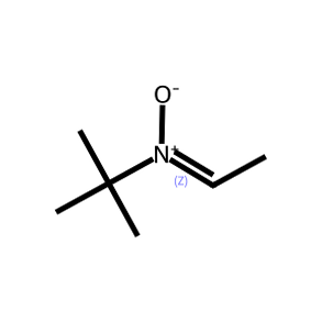 C/C=[N+](\[O-])C(C)(C)C